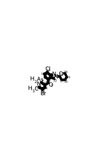 Cc1nc([AsH2])c(C(=O)c2ccc(Cl)c3nn(C4CCCCO4)cc23)cc1Br